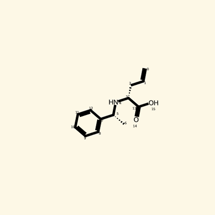 C=CC[C@@H](N[C@H](C)c1ccccc1)C(=O)O